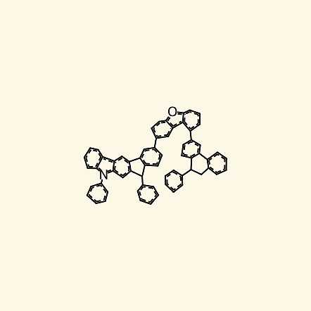 c1ccc(C2Cc3ccccc3-c3cc(-c4cccc5oc6ccc(-c7ccc8c(c7)-c7cc9c%10ccccc%10n(-c%10ccccc%10)c9cc7C8c7ccccc7)cc6c45)ccc32)cc1